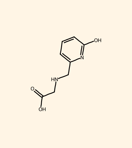 O=C(O)CNCc1cccc(O)n1